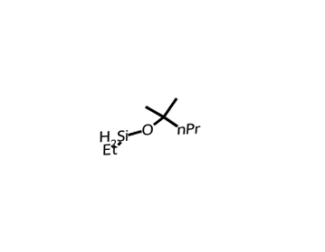 [CH2]C[SiH2]OC(C)(C)CCC